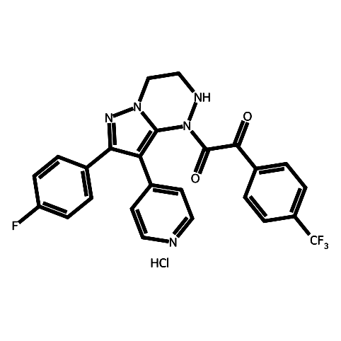 Cl.O=C(C(=O)N1NCCn2nc(-c3ccc(F)cc3)c(-c3ccncc3)c21)c1ccc(C(F)(F)F)cc1